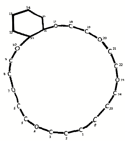 C1CCCOCCOCCOC2CCCCC2OCCOCCOCC1